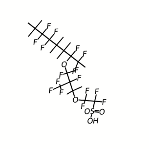 CC(C)(C)C(F)(F)C(F)(F)C(C)(C)C(C)(C)C(F)(OC(F)(F)C(F)(C(F)(F)F)C(C)(C)OC(F)(F)C(F)(F)S(=O)(=O)O)C(C)(F)F